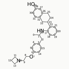 CC(Cc1ccc(OCCN2CCC2)cc1)Nc1ccccc1C1CCc2cc(O)ccc2C1